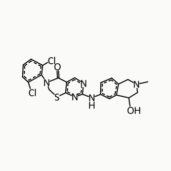 CN1Cc2ccc(Nc3ncc4c(n3)SCN(c3c(Cl)cccc3Cl)C4=O)cc2C(O)C1